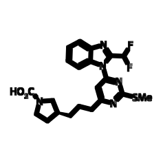 CSc1nc(CCC[C@H]2CCN(C(=O)O)C2)cc(-n2c(C(F)F)nc3ccccc32)n1